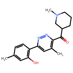 Cc1ccc(-c2cc(C)c(C(=O)C3CCCN(C)C3)nn2)c(O)c1